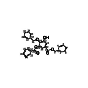 O=C(OCc1ccccc1)c1cc(O)c(OCc2ccccc2)c(OC(=O)c2cccnc2)c1